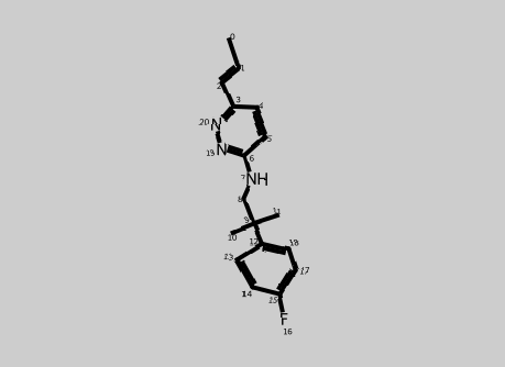 CC=Cc1ccc(NCC(C)(C)c2ccc(F)cc2)nn1